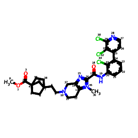 COC(=O)C12CCC(CCN3CCc4c(nc(C(=O)Nc5cccc(-c6ccnc(Cl)c6Cl)c5Cl)n4C)C3)(CC1)C2